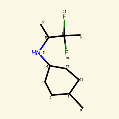 CC1CCC(NC(C)C(C)(F)F)CC1